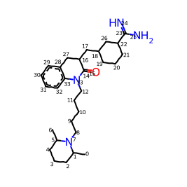 CC1CCCC(C)N1CCCCCN1C(=O)C(CC2CCCC(C(=N)N)C2)Cc2ccccc21